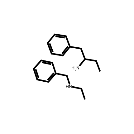 CCC(N)Cc1ccccc1.CCNCc1ccccc1